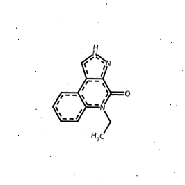 CCn1c(=O)c2n[nH]cc2c2ccccc21